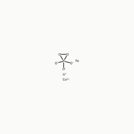 [Co+2].[Fe].[Li+].[O-]P1([O-])([O-])OO1